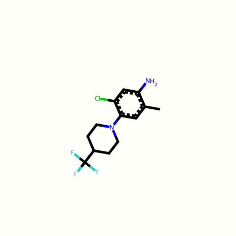 Cc1cc(N2CCC(C(F)(F)F)CC2)c(Cl)cc1N